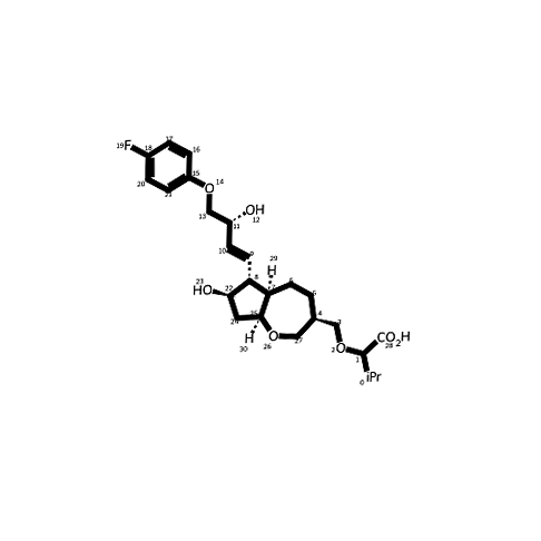 CC(C)C(OC[C@@H]1CC[C@@H]2[C@@H](/C=C/[C@@H](O)COc3ccc(F)cc3)[C@H](O)C[C@@H]2OC1)C(=O)O